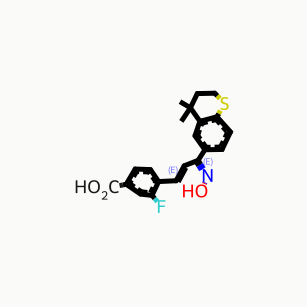 CC1(C)CCSc2ccc(C(/C=C/c3ccc(C(=O)O)cc3F)=N/O)cc21